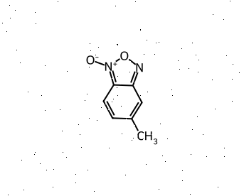 Cc1ccc2c(c1)no[n+]2[O-]